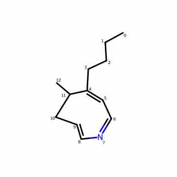 CCCC/C1=C/C=N\C=C\CC1C